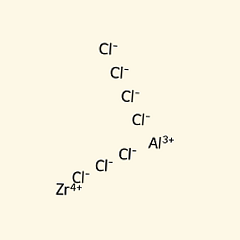 [Al+3].[Cl-].[Cl-].[Cl-].[Cl-].[Cl-].[Cl-].[Cl-].[Zr+4]